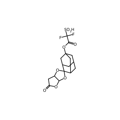 O=C1CC2OC3(OC2O1)C1CC2CC3CC(OC(=O)C(F)(F)S(=O)(=O)O)(C2)C1